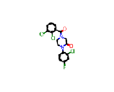 O=C(c1cccc(Cl)c1Cl)N1CCN(c2ccc(F)cc2Cl)C(=O)C1